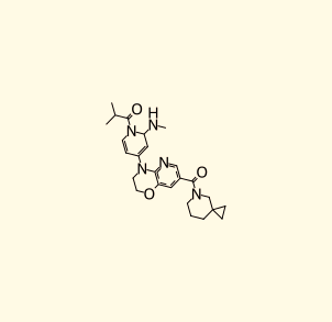 CNC1C=C(N2CCOc3cc(C(=O)N4CCCC5(CC5)C4)cnc32)C=CN1C(=O)C(C)C